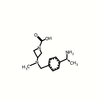 C[C@H](N)c1ccc(CN(C)C2CN(C(=O)O)C2)cc1